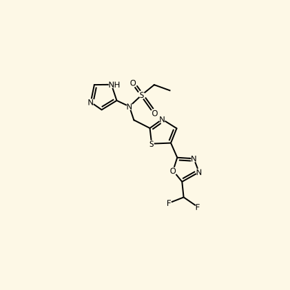 CCS(=O)(=O)N(Cc1ncc(-c2nnc(C(F)F)o2)s1)c1cnc[nH]1